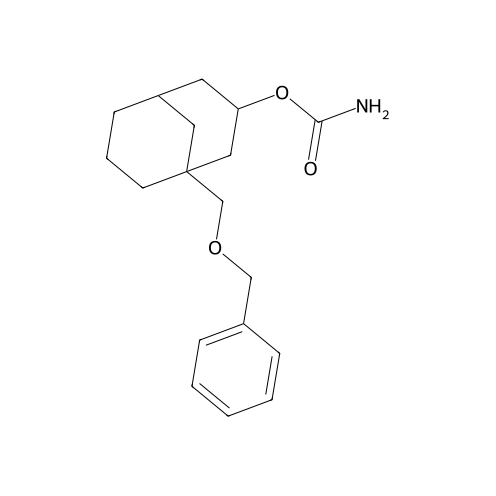 NC(=O)OC1CC2CCCC(COCc3ccccc3)(C2)C1